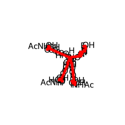 CC(=O)N[C@H]1[C@H]2OC[C@](COCCOCCOCCOCCNC(=O)CCOCC(COCCC(=O)NCCOCCOCCOCCOC[C@@]34COC(O3)[C@H](NC(C)=O)[C@@H](O)[C@H]4O)(COCCC(=O)NCCOCCOCCOCCOC[C@@]34OO[C@@H](O3)[C@H](NC(C)=O)[C@@H](O)[C@H]4O)NC(=O)CCCOc3ccc4nc(-c5cn(-c6ccc(O)c(F)c6)nn5)ccc4c3)(O2)[C@H](O)[C@@H]1O